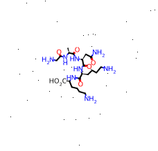 C[C@H](NC(=O)CN)C(=O)N[C@@H](CC(N)=O)C(=O)N[C@@H](CCCCN)C(=O)N[C@@H](CCCCN)C(=O)O